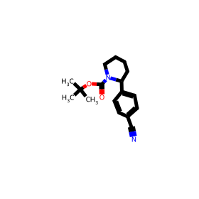 CC(C)(C)OC(=O)N1CCCCC1c1ccc(C#N)cc1